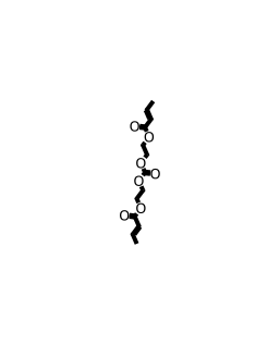 CC=CC(=O)OCCOC(=O)OCCOC(=O)C=CC